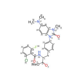 COC(=O)C(Cc1ccc(-n2c(=O)n(C)c3cc(N(C)C)ccc32)cc1)NC(=O)c1c(F)cccc1Cl